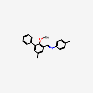 CCC(C)Oc1c(/C=N/c2ccc(C)cc2)cc(C)cc1-c1ccccc1